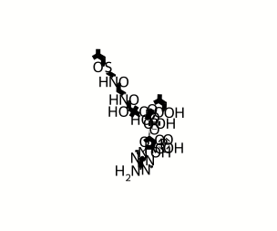 CC(C)=CC(=O)O.CC(C)=CC(=O)SCCNC(=O)CCNC(=O)C(O)C(C)(C)COP(=O)(O)OP(=O)(O)OC[C@H]1O[C@@H](n2cnc3c(N)ncnc32)[C@H](O)[C@@H]1OP(=O)(O)O